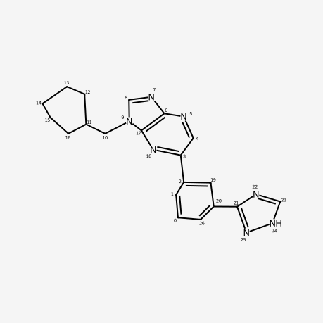 c1cc(-c2cnc3ncn(CC4CCCCC4)c3n2)cc(-c2nc[nH]n2)c1